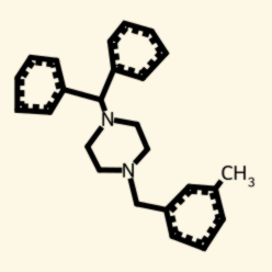 Cc1cccc(CN2CCN(C(c3ccccc3)c3ccccc3)CC2)c1